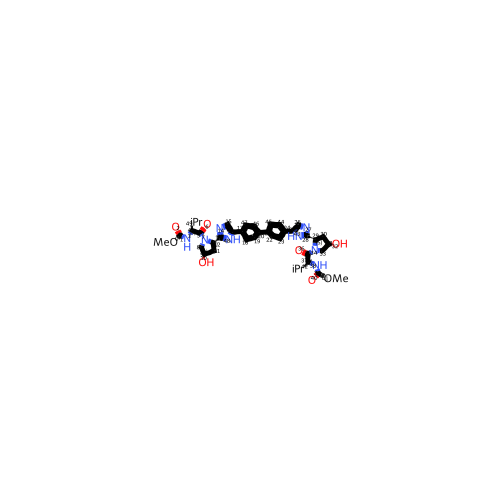 COC(=O)N[C@H](C(=O)N1C[C@H](O)C[C@H]1c1ncc(-c2ccc(-c3ccc(-c4cnc([C@@H]5C[C@@H](O)CN5C(=O)[C@@H](NC(=O)OC)C(C)C)[nH]4)cc3)cc2)[nH]1)C(C)C